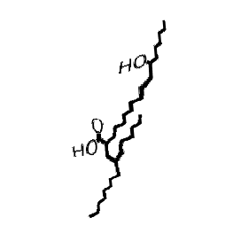 CCCCCCCCC(CCCCCC)CC(CCCCCCCCCC(O)CCCCCC)C(=O)O